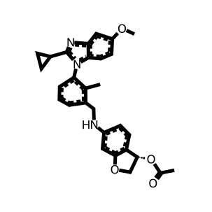 COc1ccc2c(c1)nc(C1CC1)n2-c1cccc(CNc2ccc3c(c2)OC[C@H]3OC(C)=O)c1C